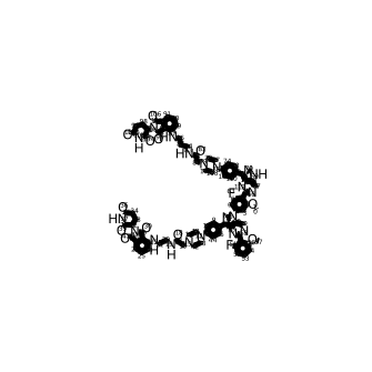 COc1cc(-n2nc(-c3ccc(N4CCN(CC(=O)NCCNc5cccc6c5C(=O)N(C5CCC(=O)NC5=O)C6=O)CC4)cc3)c3nc(-c4c(F)cccc4OC)ncc32)cc(F)c1-c1ncc2[nH]nc(-c3ccc(N4CCN(CC(=O)NCCCNc5cccc6c5C(=O)N(C5CCC(=O)NC5=O)C6=O)CC4)cc3)c2n1